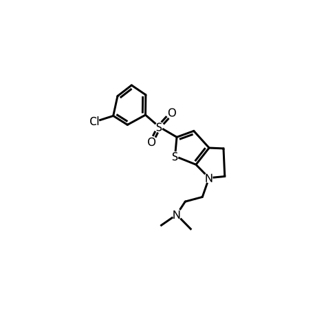 CN(C)CCN1CCc2cc(S(=O)(=O)c3cccc(Cl)c3)sc21